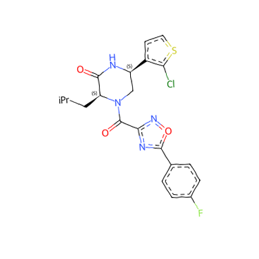 CC(C)C[C@H]1C(=O)N[C@@H](c2ccsc2Cl)CN1C(=O)c1noc(-c2ccc(F)cc2)n1